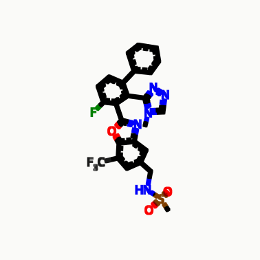 Cn1cnnc1-c1c(-c2ccccc2)ccc(F)c1-c1nc2cc(CNS(C)(=O)=O)cc(C(F)(F)F)c2o1